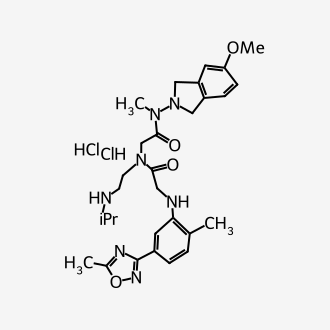 COc1ccc2c(c1)CN(N(C)C(=O)CN(CCNC(C)C)C(=O)CNc1cc(-c3noc(C)n3)ccc1C)C2.Cl.Cl